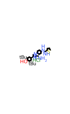 CC(C)(C)c1cc(C2=C[N+](C)(c3ccc(NC(=N)c4cccs4)cc3)C(CN)=N2)cc(C(C)(C)C)c1O.Cl